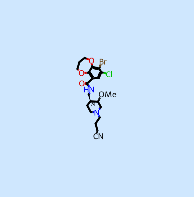 COC1CN(CCCC#N)CC[C@H]1CNC(=O)c1cc(Cl)c(Br)c2c1OCCCO2